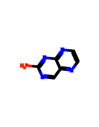 Pc1ncc2nccnc2n1